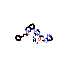 CC1CN(c2cccc3c2CN(C(=O)CCc2ccccc2)CC3)CCN1C(=O)Cn1cnc2cccnc21